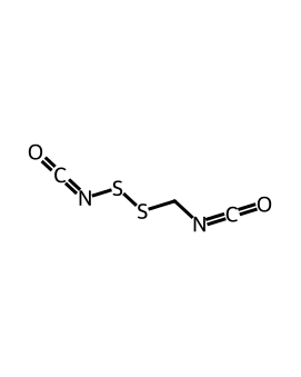 O=C=NCSSN=C=O